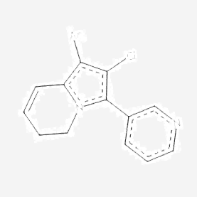 CC(=O)c1c(Cl)c(-c2cccnc2)n2c1C=CCC2